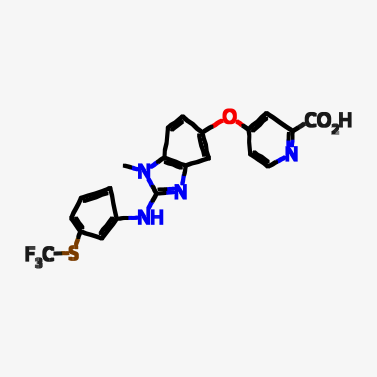 Cn1c(Nc2cccc(SC(F)(F)F)c2)nc2cc(Oc3ccnc(C(=O)O)c3)ccc21